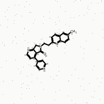 Cc1ccc2nc(CCN3Cc4nccc(-c5ccncc5)c4C3=O)ccc2c1